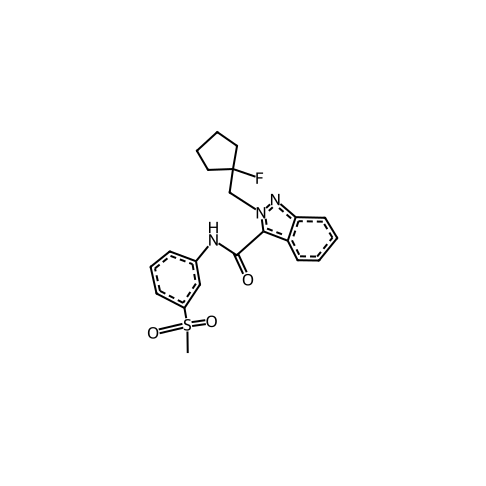 CS(=O)(=O)c1cccc(NC(=O)c2c3ccccc3nn2CC2(F)CCCC2)c1